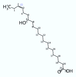 CC/C=C\CCC(O)CCCCCCCCCCCCCC(=O)O